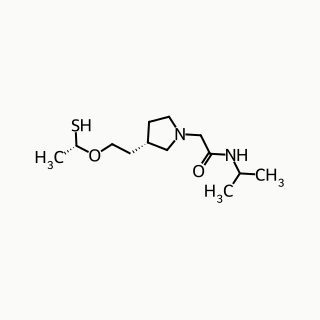 CC(C)NC(=O)CN1CC[C@@H](CCO[C@H](C)S)C1